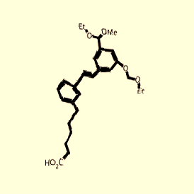 CCOCOc1cc(C=Cc2cccc(CCCCCC(=O)O)c2)cc(C(OC)OCC)c1